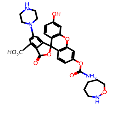 C1CCNOCC1.NC(=O)Oc1ccc2c(c1)Oc1cc(O)ccc1C21OC(=O)c2c(C(=O)O)cc(N3CCNCC3)cc21